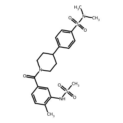 Cc1ccc(C(=O)N2CCC(c3ccc(S(=O)(=O)N(C)C)cc3)CC2)cc1NS(C)(=O)=O